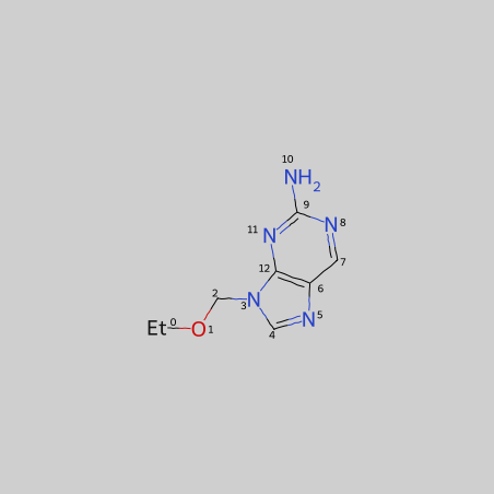 CCOCn1cnc2cnc(N)nc21